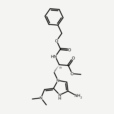 COC(=O)[C@H](CN1C=C(N)NC1=CN(C)C)NC(=O)OCc1ccccc1